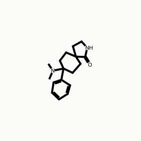 CN(C)C1(c2ccccc2)CCC2(CCNC2=O)CC1